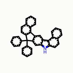 c1ccc(C2(c3ccccc3)c3cc4[nH]c5ccc6ccccc6c5c4cc3-c3c2ccc2ccccc32)cc1